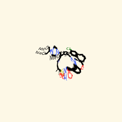 COCC(COC)N1CCN(C[C@@]2(OC)/C=C/C[C@H](C)[C@@H](C)S(=O)(=O)NC(=O)c3ccc4c(c3)N(C[C@@H]3CC[C@H]32)C[C@@]2(CCCc3cc(Cl)ccc32)CO4)CC1